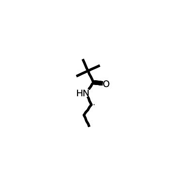 CC[CH]NC(=O)C(C)(C)C